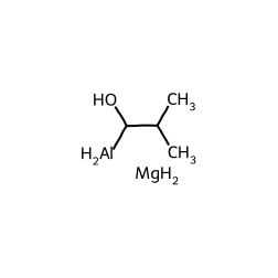 CC(C)[CH](O)[AlH2].[MgH2]